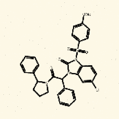 COc1ccc(S(=O)(=O)n2c(=O)n(C(C(=O)N3CCCC3c3ccccc3)c3ccccc3)c3cc(Cl)ccc32)cc1